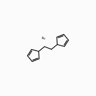 [CH](CC1C=CC=C1)C1C=CC=C1.[Ru]